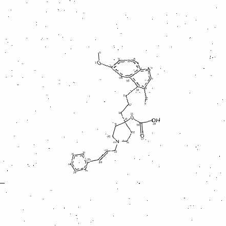 COc1ccc2ncc(F)c(CCCC3(OC(=O)O)CCN(CC=Cc4ccccc4)CC3)c2c1